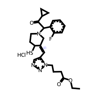 CCOC(=O)CCCn1nncc1/C=C1/CN(C(C(=O)C2CC2)c2ccccc2F)CCC1S.Cl